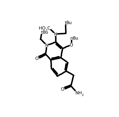 CCCCOc1c(N(CC(C)(C)C)C(=O)O)n(CC(C)(C)C)c(=O)c2ccc(CC(N)=O)cc12